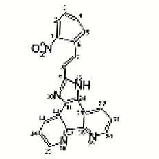 O=[N+]([O-])c1ccccc1/C=C/c1nc2c3cccnc3c3ncccc3c2[nH]1